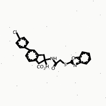 O=C(CSc1nc2ccccc2o1)NC1(C(=O)O)Cc2ccc(-c3ccc(Cl)cc3)cc2C1